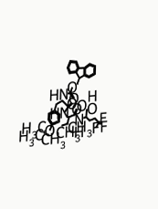 CCC(C)C(NC(=O)C(Cc1ccc(OC(C)(C)C)cc1)NC(=O)OCC1c2ccccc2-c2ccccc21)C(=O)NC(CCC(F)(F)F)C(=O)O